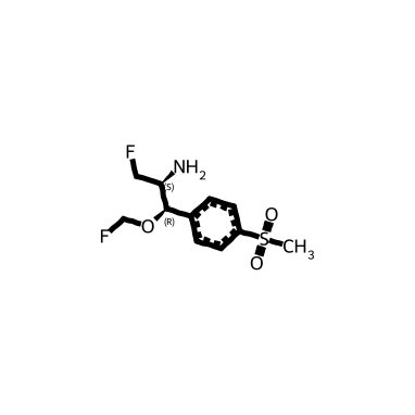 CS(=O)(=O)c1ccc([C@@H](OCF)[C@H](N)CF)cc1